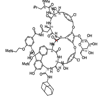 CNCCOc1ccc(C(=O)NC(=O)C[C@@H]2NC(=O)[C@H](NC(=O)[C@@H](CC(C)C)NC)[C@H](O)c3ccc(c(Cl)c3)Oc3cc4cc(c3O[C@@H]3O[C@H](CO)[C@@H](O)[C@H](O)[C@H]3O)Oc3ccc(cc3Cl)[C@@H](O)[C@@H]3NC(=O)[C@H](NC(=O)[C@@H]4NC2=O)c2ccc4c(c2)-c2c(cc(O)cc2C4(O)O)[C@@H](C(=O)NC2C4CC5CC(C4)CC2C5)NC3=O)cc1OCCNC